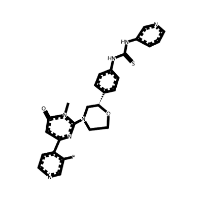 Cn1c(N2CCO[C@@H](c3ccc(NC(=S)Nc4cccnc4)cc3)C2)nc(-c2ccncc2F)cc1=O